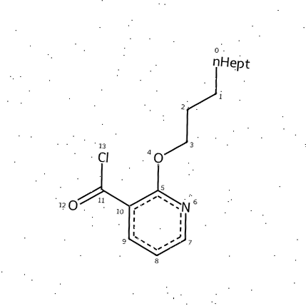 CCCCCCCCCCOc1ncccc1C(=O)Cl